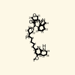 COc1cc(CCCC[C@H](F)C2CCN([C@@H](C(=O)O)c3cccc4cnn([C@H]5CCOC5)c34)C2)nc2c1CCCN2